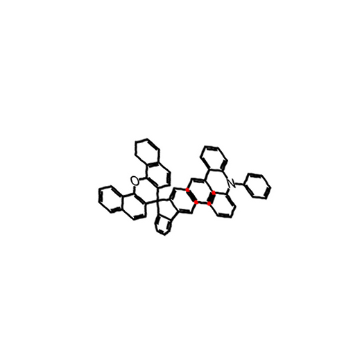 C1=Cc2ccc3c(c2CC1)Oc1c(ccc2ccccc12)C31c2ccccc2-c2cc(-c3cccc(N(c4ccccc4)c4ccccc4-c4ccccc4)c3)ccc21